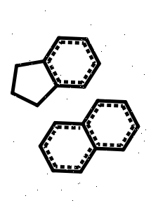 c1ccc2c(c1)CCC2.c1ccc2ccccc2c1